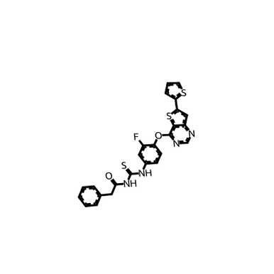 O=C(Cc1ccccc1)NC(=S)Nc1ccc(Oc2ncnc3cc(-c4cccs4)sc23)c(F)c1